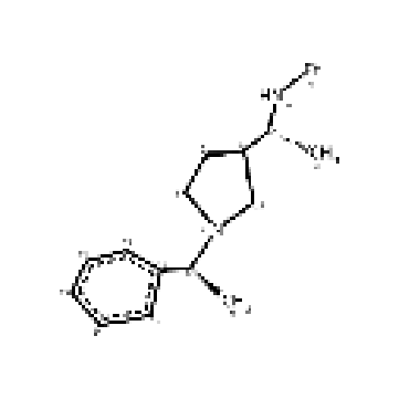 CCN[C@H](C)[C@@H]1CCN([C@@H](C)c2ccccc2)C1